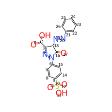 O=C(O)C1=NN(c2ccc(S(=O)(=O)O)cc2)C(=O)C1N=Nc1ccccc1